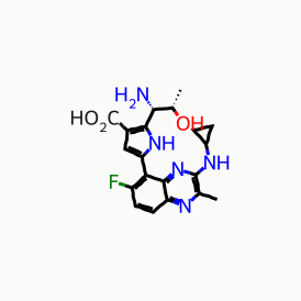 Cc1nc2ccc(F)c(-c3cc(C(=O)O)c([C@H](N)[C@H](C)O)[nH]3)c2nc1NC1CC1